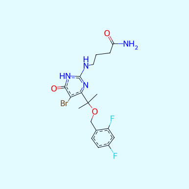 CC(C)(OCc1ccc(F)cc1F)c1nc(NCCCC(N)=O)[nH]c(=O)c1Br